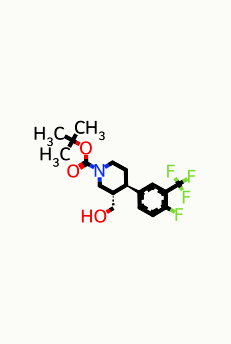 CC(C)(C)OC(=O)N1CC[C@@H](c2ccc(F)c(C(F)(F)F)c2)[C@H](CO)C1